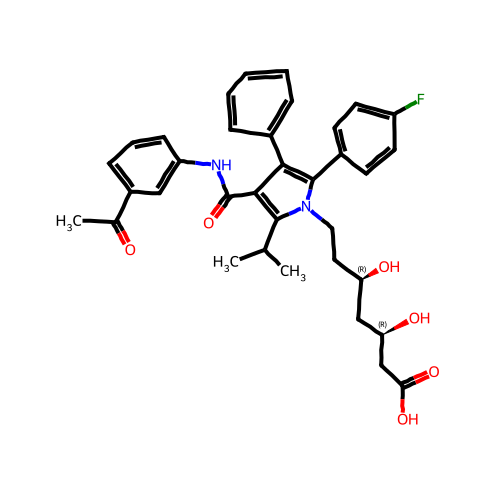 CC(=O)c1cccc(NC(=O)c2c(-c3ccccc3)c(-c3ccc(F)cc3)n(CC[C@@H](O)C[C@@H](O)CC(=O)O)c2C(C)C)c1